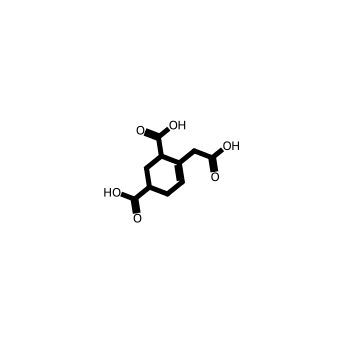 O=C(O)CC1=CCC(C(=O)O)CC1C(=O)O